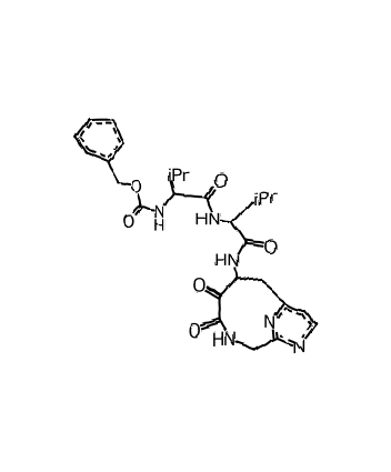 CC(C)C(NC(=O)OCc1ccccc1)C(=O)NC(C(=O)NC1Cc2ccnc(n2)CNC(=O)C1=O)C(C)C